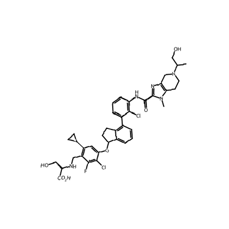 CC(CO)N1CCc2c(nc(C(=O)Nc3cccc(-c4cccc5c4CCC5Oc4cc(C5CC5)c(CNC(CO)C(=O)O)c(F)c4Cl)c3Cl)n2C)C1